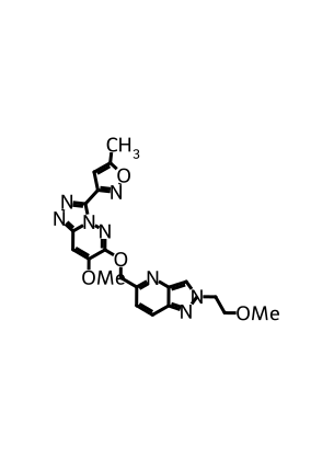 COCCn1cc2nc(COc3nn4c(-c5cc(C)on5)nnc4cc3OC)ccc2n1